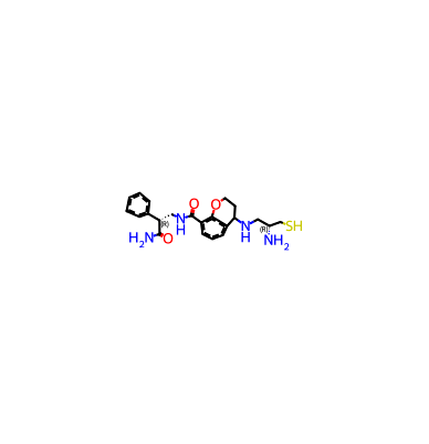 NC(=O)[C@@H](CNC(=O)c1cccc2c1OCCC2NC[C@@H](N)CS)c1ccccc1